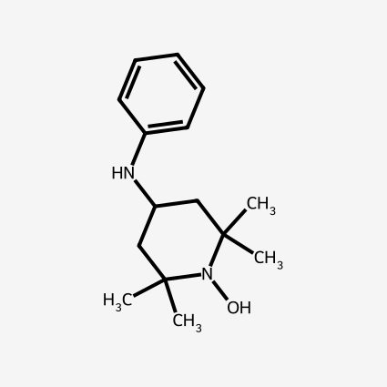 CC1(C)CC(Nc2ccccc2)CC(C)(C)N1O